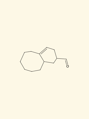 O=CC1CC=C2CCCCCCC2C1